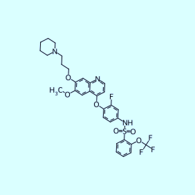 COc1cc2c(Oc3ccc(NS(=O)(=O)c4ccccc4OC(F)(F)F)cc3F)ccnc2cc1OCCCN1CCCCC1